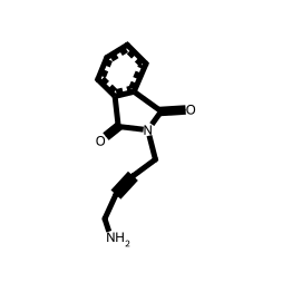 NCC#CCN1C(=O)c2ccccc2C1=O